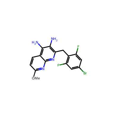 COc1ccc2c(N)c(N)c(Cc3c(F)cc(Br)cc3F)nc2n1